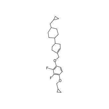 Fc1c(OCC2=CCC(C3CCC(CC4CC4)CC3)CC2)ccc(OCC2CC2)c1F